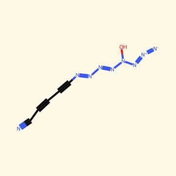 N#CC#CC#C/N=N/N=N/N(O)N=[N+]=[N-]